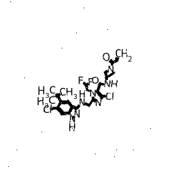 C=CC(=O)N1CC(NC(=O)c2c(Cl)nc(CNc3n[nH]c4cc(Cl)c(C(C)(C)C)cc34)n2CC(F)F)C1